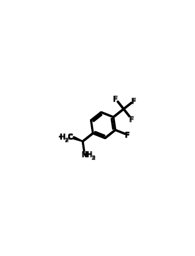 [CH2][C@H](N)c1ccc(C(F)(F)F)c(F)c1